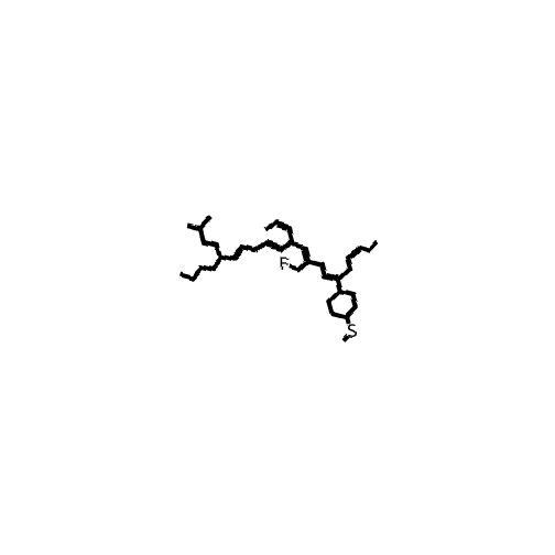 C/C=C\C(C=CCC=CC(CCCC)CCC(C)C)/C=C(\CF)CC=C(C/C=C\CC)C1CCC(SC)CC1